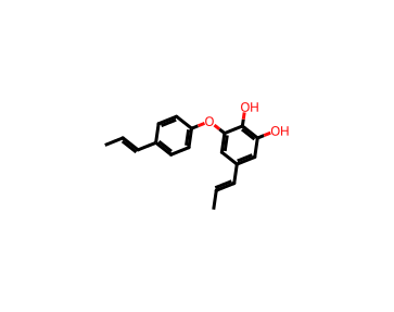 CC=Cc1ccc(Oc2cc(C=CC)cc(O)c2O)cc1